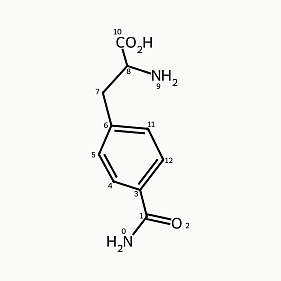 NC(=O)c1ccc(CC(N)C(=O)O)cc1